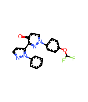 O=c1ccn(-c2ccc(OC(F)F)cc2)nc1-c1ccnn1-c1ccccc1